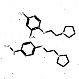 CONc1ccc(OCCN2CCCC2)cc1.COc1cc([N+](=O)[O-])ccc1OCCN1CCCC1